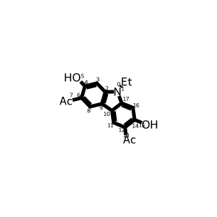 CCn1c2cc(O)c(C(C)=O)cc2c2cc(C(C)=O)c(O)cc21